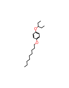 CCCCCCCCCOc1ccc(OC(CC)CC)cc1